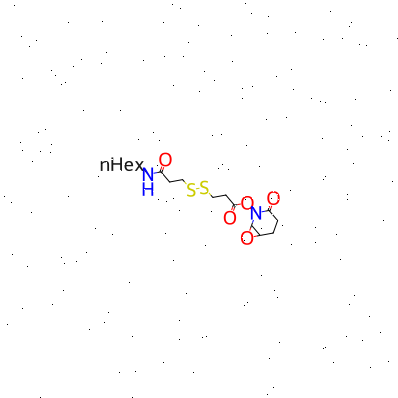 CCCCCCNC(=O)CCSSCCC(=O)ON1C(=O)CCC2OC21